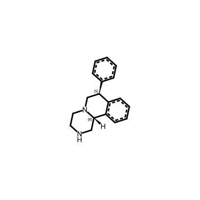 c1ccc([C@@H]2CN3CCNC[C@H]3c3ccccc32)cc1